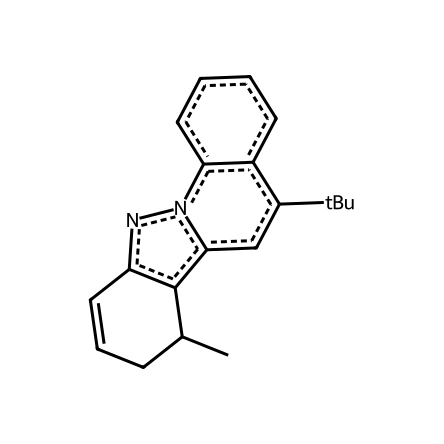 CC1CC=Cc2nn3c(cc(C(C)(C)C)c4ccccc43)c21